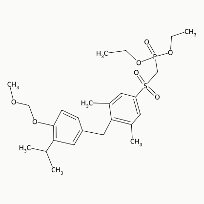 CCOP(=O)(CS(=O)(=O)c1cc(C)c(Cc2ccc(OCOC)c(C(C)C)c2)c(C)c1)OCC